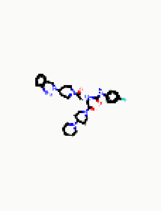 Nc1ccccc1CNC1CCN(C(=O)C[C@H](NC(=O)Nc2ccc(F)cc2)C(=O)N2CCC(N3CCCCC3)CC2)CC1